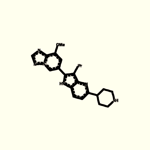 COc1cc(-c2[nH]c3ccc(C4CCNCC4)nc3c2C(C)C)cn2ncnc12